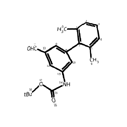 Cc1cccc(C)c1-c1cc(C=O)cc(NC(=O)OC(C)(C)C)c1